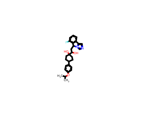 CC(C)Oc1ccc(C2CCC(O)(C(O)CC3c4c(F)cccc4-c4cncn43)CC2)cc1